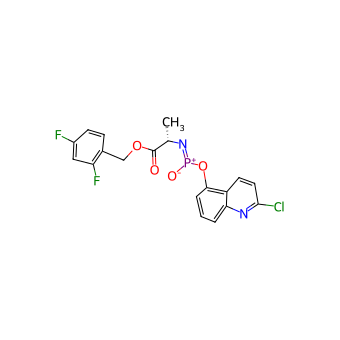 C[C@H](/N=[P+](\[O-])Oc1cccc2nc(Cl)ccc12)C(=O)OCc1ccc(F)cc1F